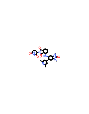 Cc1cc(-c2cc3c(cc2Nc2cccc4c2C(=O)N(C2CCC(=O)NC2=O)C4=O)n(C)c(=O)n3C)cc(C)n1